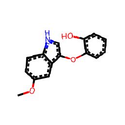 COc1ccc2[nH]cc(Oc3ccccc3O)c2c1